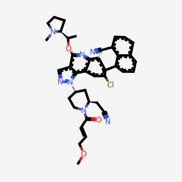 COC/C=C/C(=O)N1CC[C@H](n2ncc3c(OC(C)[C@@H]4CCCN4C)nc4c(F)c(-c5cccc6cccc(C#N)c56)c(Cl)cc4c32)C[C@H]1CC#N